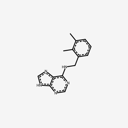 Cc1cccc(CNc2ncnc3[nH]cnc23)c1C